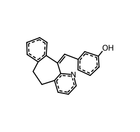 Oc1cccc(C=C2c3ccccc3CCc3cccnc32)c1